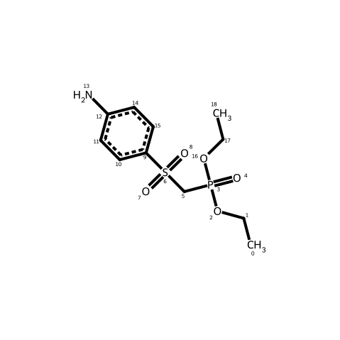 CCOP(=O)(CS(=O)(=O)c1ccc(N)cc1)OCC